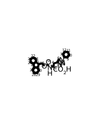 O=C(N[C@@H](Cc1cn(-c2ccccc2)nn1)C(=O)O)OCC1c2ccccc2-c2ccccc21